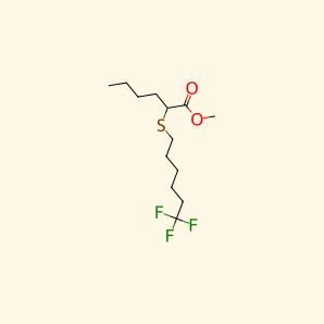 CCCCC(SCCCCCC(F)(F)F)C(=O)OC